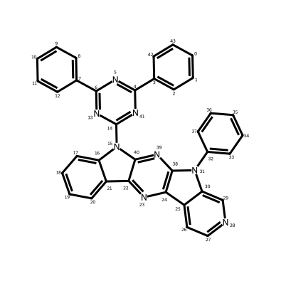 c1ccc(-c2nc(-c3ccccc3)nc(-n3c4ccccc4c4nc5c6ccncc6n(-c6ccccc6)c5nc43)n2)cc1